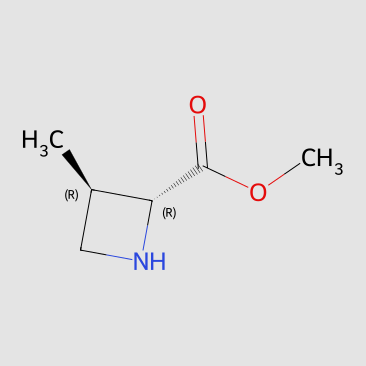 COC(=O)[C@@H]1NC[C@H]1C